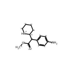 COC(=O)C(c1ccc(N)cc1)C1CCCCN1